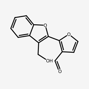 O=Cc1ccoc1-c1oc2ccccc2c1CO